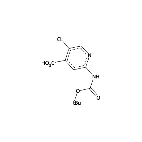 CC(C)(C)OC(=O)Nc1cc(C(=O)O)c(Cl)cn1